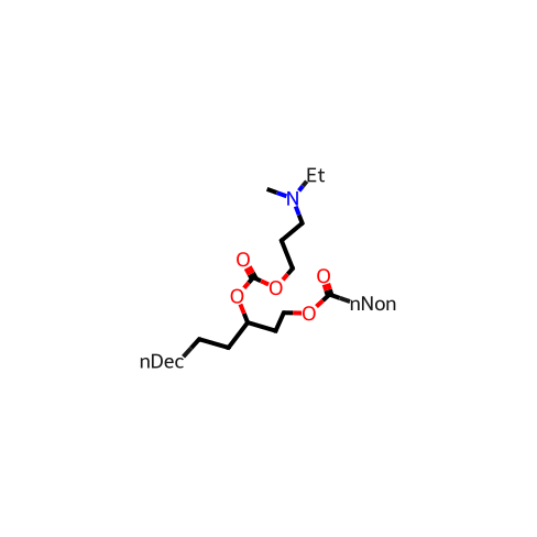 CCCCCCCCCCCCC(CCOC(=O)CCCCCCCCC)OC(=O)OCCCN(C)CC